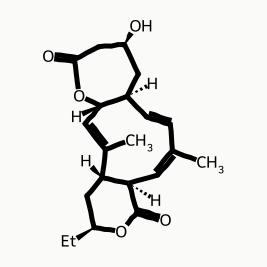 CC[C@H]1C[C@@H]2/C(C)=C/[C@@H]3OC(=O)C[C@@H](O)C[C@H]3/C=C/C(C)=C\[C@H]2C(=O)O1